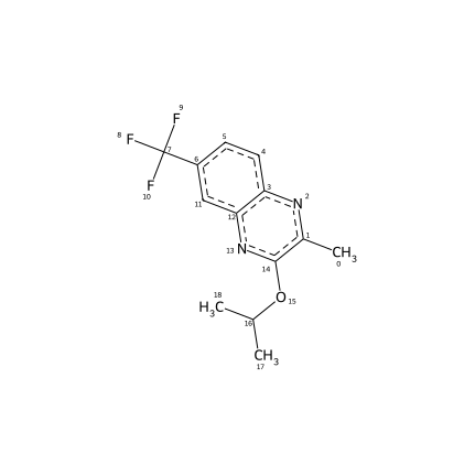 Cc1nc2ccc(C(F)(F)F)cc2nc1OC(C)C